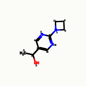 CC(O)c1cnc(N2CCC2)nc1